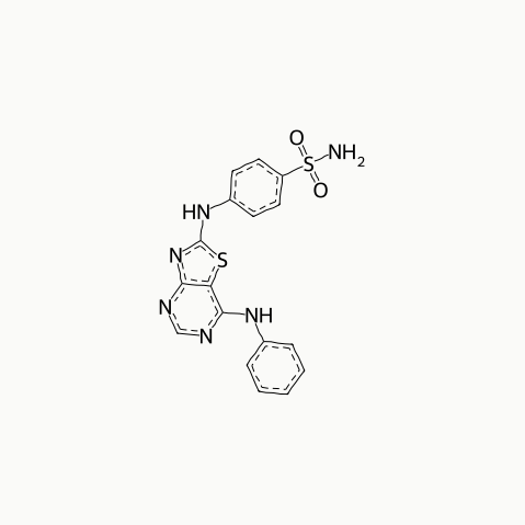 NS(=O)(=O)c1ccc(Nc2nc3ncnc(Nc4ccccc4)c3s2)cc1